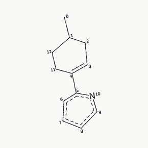 CC1CC=C(c2ccccn2)CC1